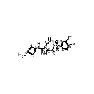 CCn1c(Nc2ccc(C)cc2)nnc1[C@@H](C)NS(=O)(=O)c1ccc(I)c(I)c1